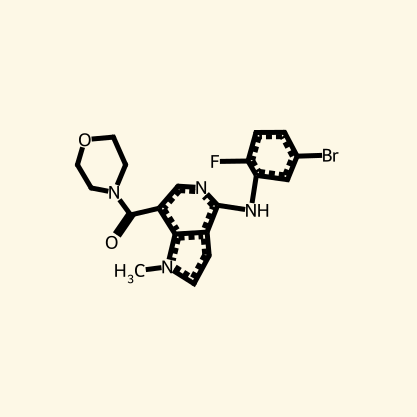 Cn1ccc2c(Nc3cc(Br)ccc3F)ncc(C(=O)N3CCOCC3)c21